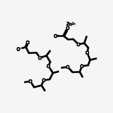 COCC(C)OCC(C)OCC(C)OCCC(=O)[O-].COCC(C)OCC(C)OCC(C)OCCC(=O)[O-].[Zn+2]